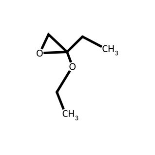 CCOC1(CC)CO1